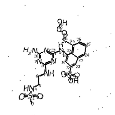 CS(=O)(=O)NCCNc1nc(N)nc(Nc2cc(S(=O)(=O)O)cc3cccc(SOOO)c23)n1